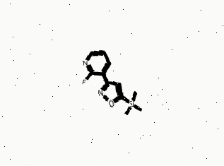 C[Si](C)(C)c1cc(-c2cccnc2F)no1